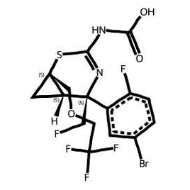 O=C(O)NC1=N[C@](CF)(c2cc(Br)ccc2F)[C@@H]2C[C@]2(COCC(F)(F)F)S1